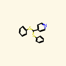 c1ccc(SC(Sc2ccccc2)c2ccncc2)cc1